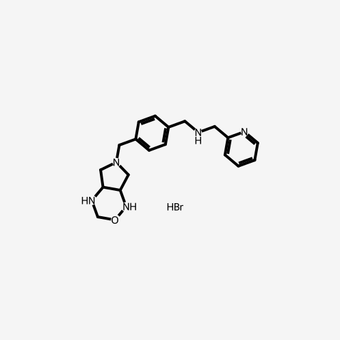 Br.c1ccc(CNCc2ccc(CN3CC4NCONC4C3)cc2)nc1